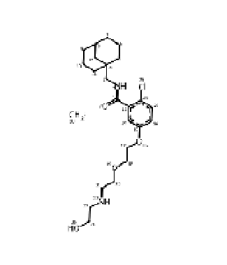 O=C(NCC12CCCC(CCC1)C2)c1cc(OCCOCCNCCO)ccc1Cl.[CH2]